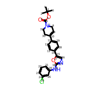 CC(C)(C)OC(=O)N1CC=C(c2ccc(-c3cnc(Nc4cccc(Cl)c4)o3)cc2)CC1